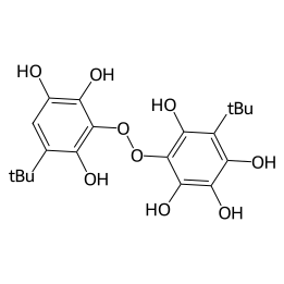 CC(C)(C)c1cc(O)c(O)c(OOc2c(O)c(O)c(O)c(C(C)(C)C)c2O)c1O